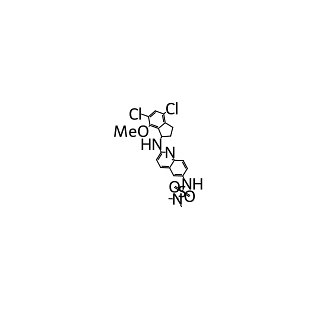 COc1c(Cl)cc(Cl)c2c1C(Nc1ccc3cc(NS(=O)(=O)N(C)C)ccc3n1)CC2